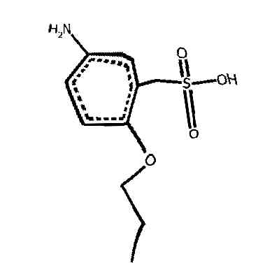 CCCOc1ccc(N)cc1S(=O)(=O)O